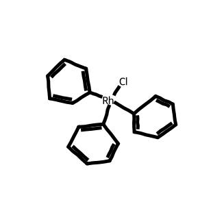 [Cl][Rh]([c]1ccccc1)([c]1ccccc1)[c]1ccccc1